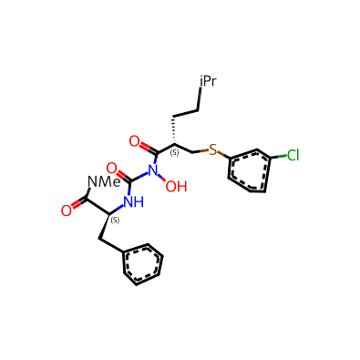 CNC(=O)[C@H](Cc1ccccc1)NC(=O)N(O)C(=O)[C@H](CCC(C)C)CSc1cccc(Cl)c1